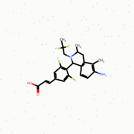 Cc1c(N)ccc2c1CC(C)N(CC(C)(F)F)C2c1c(F)cc(/C=C/C(=O)O)cc1F